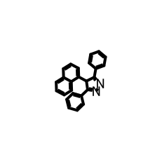 c1ccc(C2=NN=C(c3ccccc3)C2c2cccc3ccccc23)cc1